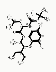 CCC(CC)[C@H](Oc1ccc(Cl)cc1Cl)[C@H](C)OC(=O)[C@H](CC(C)C)NC(=O)OC(C)(C)C